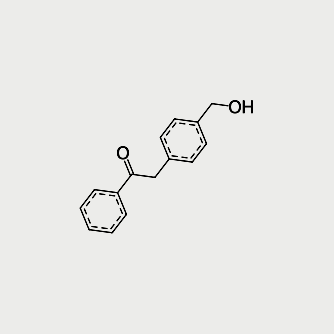 O=C(Cc1ccc(CO)cc1)c1ccccc1